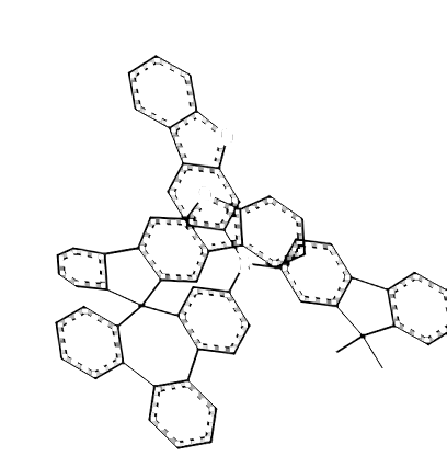 CC1(C)c2ccccc2-c2ccc(N(c3ccc4c(c3)C3(c5ccccc5-c5ccccc5-4)c4ccccc4-c4cc5oc6ccccc6c5cc43)c3ccc4c(c3)oc3ccccc34)cc21